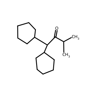 CC(C)C(=O)C(C1CCCCC1)C1CCCCC1